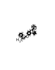 CN(CCOc1ccc(C[C@H](c2nnco2)n2cccc2)cc1)c1ccccn1